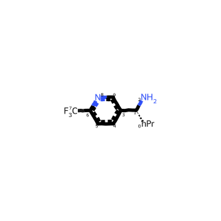 CCC[C@@H](N)c1ccc(C(F)(F)F)nc1